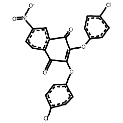 O=C1C(Oc2ccc(Cl)cc2)=C(Oc2ccc(Cl)cc2)C(=O)c2cc([N+](=O)[O-])ccc21